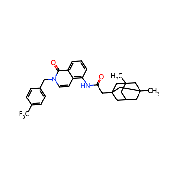 CC12CC3CC(C)(C1)CC(CC(=O)Nc1cccc4c(=O)n(Cc5ccc(C(F)(F)F)cc5)ccc14)(C3)C2